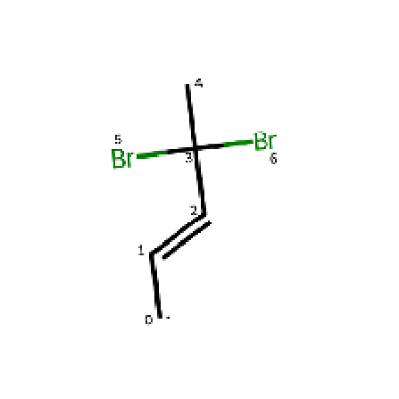 [CH2]C=CC(C)(Br)Br